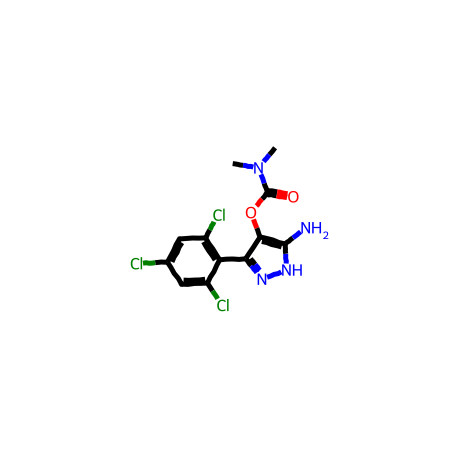 CN(C)C(=O)Oc1c(-c2c(Cl)cc(Cl)cc2Cl)n[nH]c1N